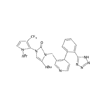 CCCCc1cn(-c2c(C(F)(F)F)ccn2CCC)c(=O)n1Cc1cnccc1-c1ccccc1-c1nnn[nH]1